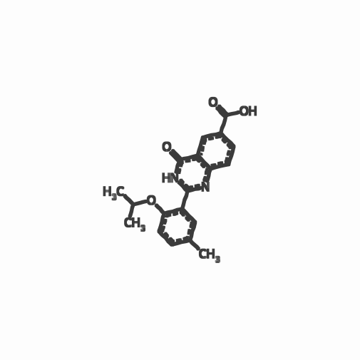 Cc1ccc(OC(C)C)c(-c2nc3ccc(C(=O)O)cc3c(=O)[nH]2)c1